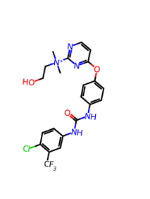 C[N+](C)(CCO)c1nccc(Oc2ccc(NC(=O)Nc3ccc(Cl)c(C(F)(F)F)c3)cc2)n1